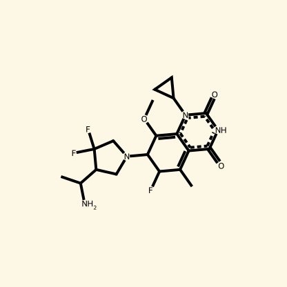 COC1=c2c(c(=O)[nH]c(=O)n2C2CC2)=C(C)C(F)C1N1CC(C(C)N)C(F)(F)C1